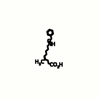 CC(=CCCCCNOCc1ccccc1)CCC(=O)O